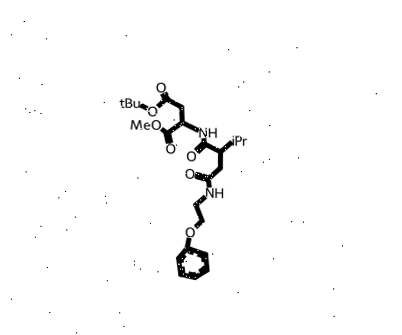 COC(=O)C(CC(=O)OC(C)(C)C)NC(=O)C(CC(=O)NCCOc1ccccc1)C(C)C